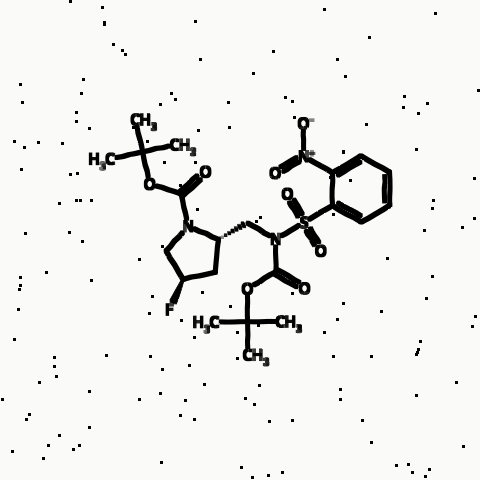 CC(C)(C)OC(=O)N1C[C@H](F)C[C@H]1CN(C(=O)OC(C)(C)C)S(=O)(=O)c1ccccc1[N+](=O)[O-]